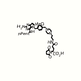 CCCCCNc1nc(N)nc2ccn(Cc3ccc(CN4CCN(CCCNC(=O)CCC(C(=O)O)N5C(=O)CCC5=O)CC4)cc3OC)c12